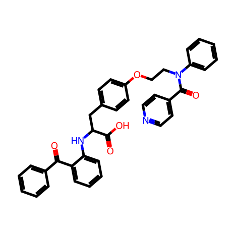 O=C(c1ccccc1)c1ccccc1NC(Cc1ccc(OCCN(C(=O)c2ccncc2)c2ccccc2)cc1)C(=O)O